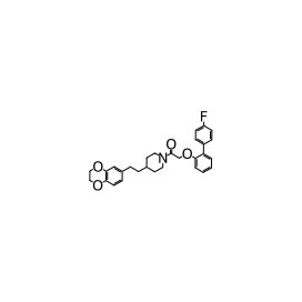 O=C(COc1ccccc1-c1ccc(F)cc1)N1CCC(CCc2ccc3c(c2)OCCO3)CC1